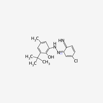 Cc1cc(N/N=C2/C=C(Cl)C=CC2=N)c(O)c(C(C)(C)C)c1